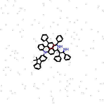 CC1(C)c2ccccc2-c2ccc(N(c3ccc4c(c3)C=C(c3ccccc3)N/C4=C(\C(=N)c3ccccc3)c3ccccc3)c3ccccc3-c3ccccc3-c3ccccc3)cc21